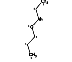 CCC[O][Al][CH2]C